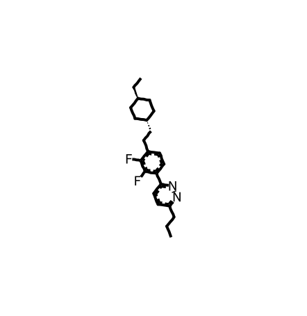 CCCc1ccc(-c2ccc(CC[C@H]3CC[C@H](CC)CC3)c(F)c2F)nn1